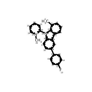 Cc1cccc2c3cc(-c4ccc(F)cc4)ccc3n(-c3cccc[n+]3C)c12